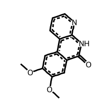 COc1cc2c(=O)[nH]c3ncccc3c2cc1OC